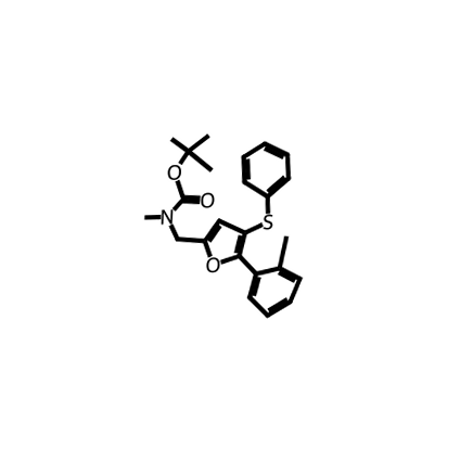 Cc1ccccc1-c1oc(CN(C)C(=O)OC(C)(C)C)cc1Sc1ccccc1